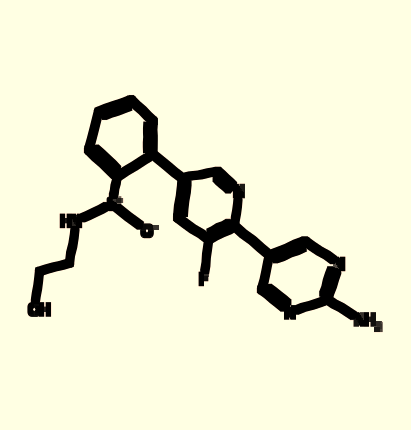 Nc1ncc(-c2ncc(-c3ccccc3[S+]([O-])NCCO)cc2F)cn1